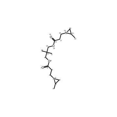 CC1CN1CCC(=O)OCC(C)(C)COC(=O)CCN1CC1C